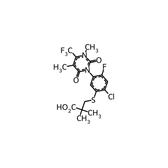 Cc1c(C(F)(F)F)n(C)c(=O)n(-c2cc(SCC(C)(C)C(=O)O)c(Cl)cc2F)c1=O